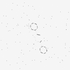 CC(C)(C)N(NC(=O)c1cccc(Cl)c1Cl)C(=O)c1ccccc1